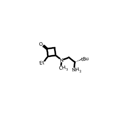 CCC1C(=O)CC1N(C)C[C@@H](N)C(C)(C)C